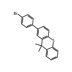 CC1(C)c2ccccc2Sc2ccc(-c3ccc(Br)cc3)cc21